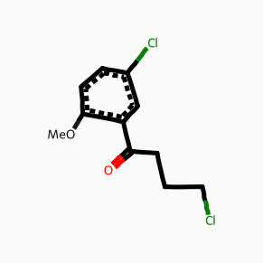 COc1ccc(Cl)cc1C(=O)CCCCl